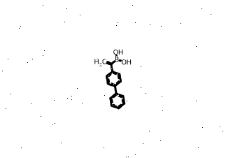 C=C(B(O)O)c1ccc(-c2ccccc2)cc1